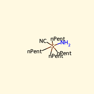 CCCCCS(N)(C#N)(CCCCC)(CCCCC)CCCCC